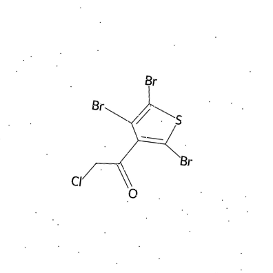 O=C(CCl)c1c(Br)sc(Br)c1Br